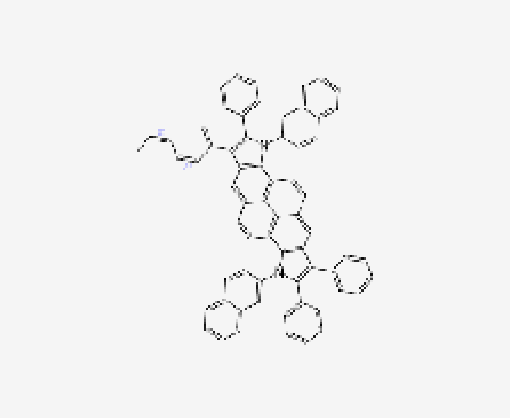 C=C(/C=C\C=C/C)c1c(-c2ccccc2)n(-c2ccc3ccccc3c2)c2c1cc1ccc3c4c(ccc2c14)cc1c(-c2ccccc2)c(-c2ccccc2)n(-c2ccc4ccccc4c2)c13